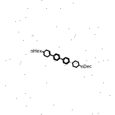 CCCCCCCCCC[C@H]1CC[C@H](c2ccc(-c3ccc(C4=CCC(CCCCCC)CC4)cc3)cc2)CC1